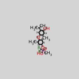 Cc1cc(OC(F)(F)P(C)(=O)O)cc(C)c1Oc1ccc(O)c(C(C)C)c1